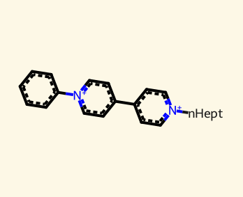 CCCCCCC[n+]1ccc(-c2cc[n+](-c3ccccc3)cc2)cc1